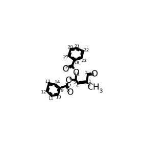 CC(C=O)=CC(OC(=O)c1ccccc1)OC(=O)c1ccccc1